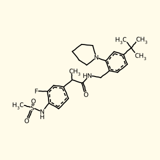 CC(C(=O)NCc1ccc(C(C)(C)C)cc1N1CCCCC1)c1ccc(NS(C)(=O)=O)c(F)c1